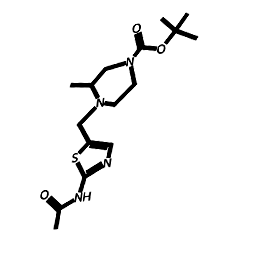 CC(=O)Nc1ncc(CN2CCN(C(=O)OC(C)(C)C)CC2C)s1